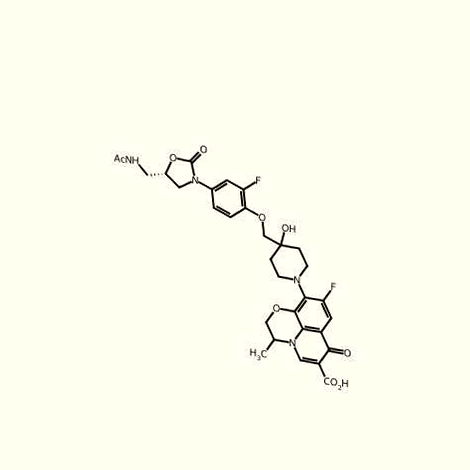 CC(=O)NC[C@H]1CN(c2ccc(OCC3(O)CCN(c4c(F)cc5c(=O)c(C(=O)O)cn6c5c4OCC6C)CC3)c(F)c2)C(=O)O1